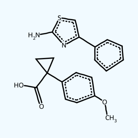 COc1ccc(C2(C(=O)O)CC2)cc1.Nc1nc(-c2ccccc2)cs1